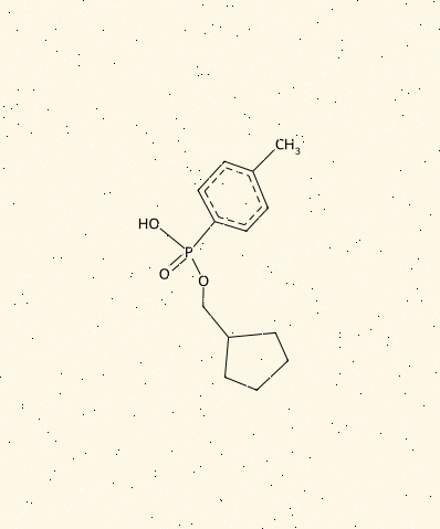 Cc1ccc(P(=O)(O)OCC2CCCC2)cc1